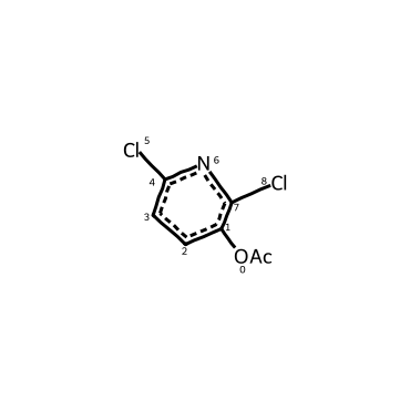 CC(=O)Oc1ccc(Cl)nc1Cl